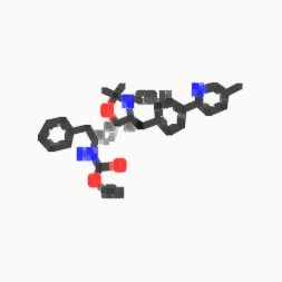 Cc1ccc(-c2ccc(C[C@H]3[C@H](C[C@@H](Cc4ccccc4)NC(=O)OC(C)(C)C)OC(C)(C)N3C(=O)O)cc2)nc1